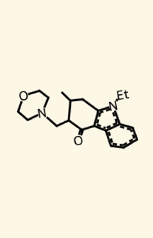 CCn1c2c(c3ccccc31)C(=O)C(CN1CCOCC1)C(C)C2